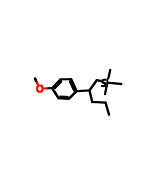 CCCC(C[Si](C)(C)C)c1ccc(OC)cc1